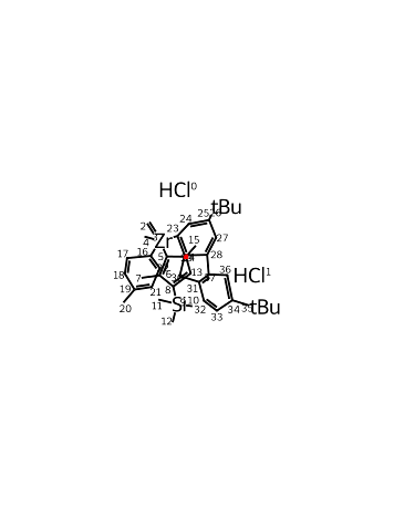 Cl.Cl.[CH2]=[Zr]([CH3])([C]1=C(C)C([Si](C)(C)C)=CC1C)([c]1ccc(C)cc1)[c]1cc(C(C)(C)C)cc2c1Cc1ccc(C(C)(C)C)cc1-2